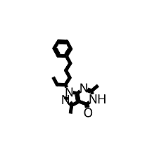 CCC(CCCc1ccccc1)n1nc(C)c2c(=O)[nH]c(C)nc21